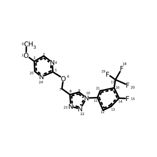 COc1cnc(OCc2cn(-c3ccc(F)c(C(F)(F)F)c3)nn2)nc1